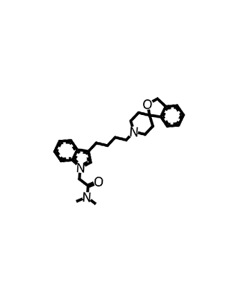 CN(C)C(=O)Cn1cc(CCCCN2CCC3(CC2)OCc2ccccc23)c2ccccc21